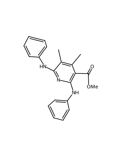 COC(=O)c1c(Nc2ccccc2)nc(Nc2ccccc2)c(C)c1C